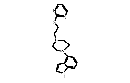 c1cnc(SCCN2CCN(c3cccc4[nH]ccc34)CC2)nc1